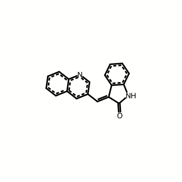 O=C1Nc2ccccc2/C1=C\c1cnc2ccccc2c1